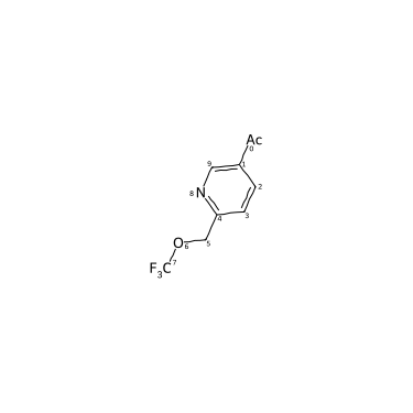 CC(=O)c1ccc(COC(F)(F)F)nc1